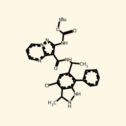 CC(NC(=O)c1c(NC(=O)OC(C)(C)C)nn2cccnc12)c1cc(Cl)c2c(c1-c1ccccc1)NNC2C